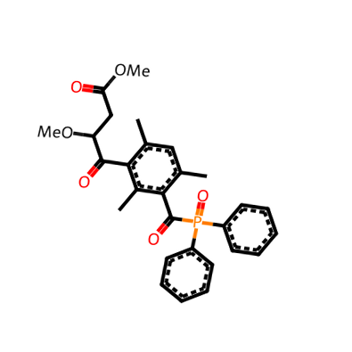 COC(=O)CC(OC)C(=O)c1c(C)cc(C)c(C(=O)P(=O)(c2ccccc2)c2ccccc2)c1C